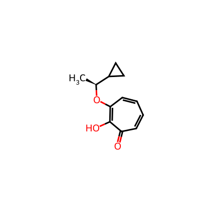 C[C@H](Oc1ccccc(=O)c1O)C1CC1